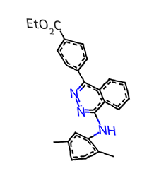 CCOC(=O)c1ccc(-c2nnc(Nc3cc(C)ccc3C)c3ccccc23)cc1